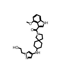 COc1cccc2[nH]cc(C(=O)N3CCC4(CCC(Nc5cnn(CCO)c5)CC4)C3)c12